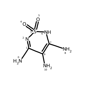 NC1=NS(=O)(=O)NC(N)=C1N